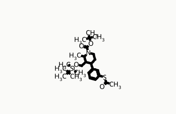 CC(=O)Sc1cccc(C2CCN(C(=O)OC(C)(C)C)C(C)C2CO[Si](C)(C)C(C)(C)C)c1